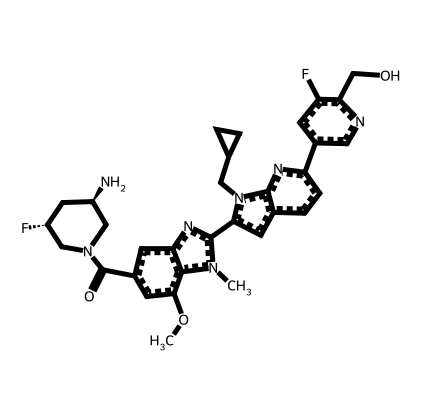 COc1cc(C(=O)N2C[C@H](N)C[C@@H](F)C2)cc2nc(-c3cc4ccc(-c5cnc(CO)c(F)c5)nc4n3CC3CC3)n(C)c12